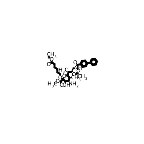 CCOC(=O)CCCCCO[C@@]1(C(=O)OC)OC([C@H](C)[C@@H](CNC(=O)c2ccc(-c3ccccc3)cc2)OC(C)=O)[C@H](C)[C@H](N)C1O